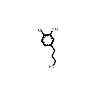 CC(C)(C)c1cc(CCCO)ccc1Cl